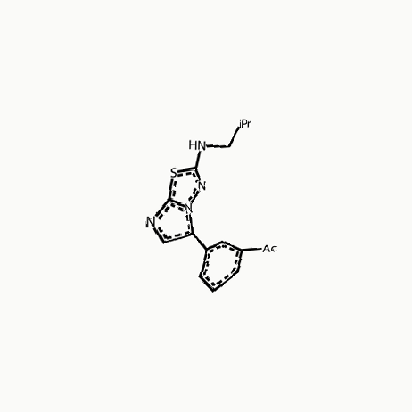 CC(=O)c1cccc(-c2cnc3sc(NCC(C)C)nn23)c1